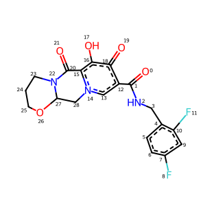 O=C(NCc1ccc(F)cc1F)c1cn2c(c(O)c1=O)C(=O)N1CCCOC1C2